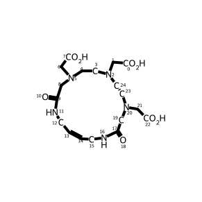 O=C(O)CN1CCN(CC(=O)O)CC(=O)NC/C=C\CNC(=O)CN(CC(=O)O)CC1